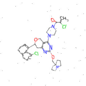 C=C(Cl)C(=O)N1CCN(c2nc(OCC34CCCN3CCC4)nc3c2COC(c2cccc4cccc(Cl)c24)C3)CC1